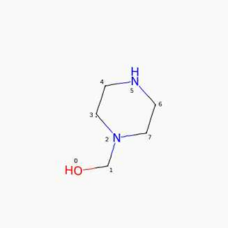 OCN1[CH]CNCC1